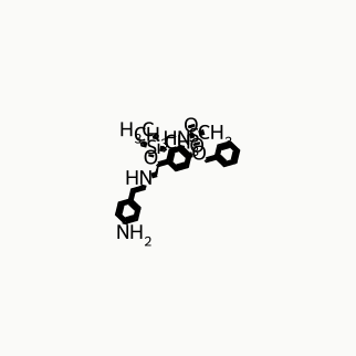 CC[Si](CC)(CC)O[C@H](CNCCc1ccc(N)cc1)c1ccc(OCc2ccccc2)c(NS(C)(=O)=O)c1